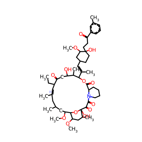 CCC1/C=C(\C)CC(C)CC(OC)C2OC(O)(C(=O)C(=O)N3CCCCC3C(=O)OC(C(C)=CC3CCC(O)(CCC(=O)c4cccc(C)c4)C(OC)C3)C(C)C(O)CC1=O)C(C)CC2OC